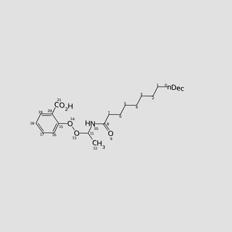 CCCCCCCCCCCCCCCCCC(=O)NC(C)OOc1ccccc1C(=O)O